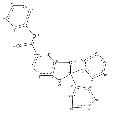 O=C(Oc1ccccc1)c1c[c]c2c(c1)OC(c1ccccc1)(c1ccccc1)O2